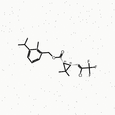 Cc1c(COC(=O)[C@@H]2[C@H](C=C(Cl)C(F)(F)F)C2(C)C)cccc1C(C)C